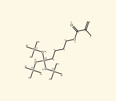 C=C(C)C(=O)OCCCC[Si](O[Si](C)(C)C)(O[Si](C)(C)C)O[Si](C)(C)C